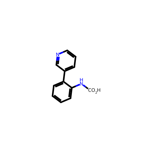 O=C(O)Nc1ccccc1-c1cccnc1